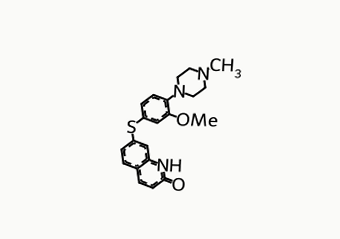 COc1cc(Sc2ccc3ccc(=O)[nH]c3c2)ccc1N1CCN(C)CC1